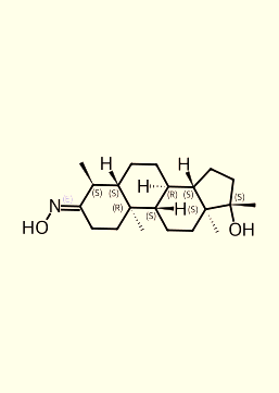 C[C@@H]1/C(=N/O)CC[C@]2(C)[C@H]3CC[C@@]4(C)[C@@H](CC[C@]4(C)O)[C@@H]3CC[C@@H]12